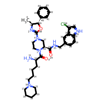 C[C@@H]1N=C(N2CCN(C(=O)[C@H](N)CCCCN3CCCCC3)[C@H](C(=O)NCc3ccc4[nH]cc(Cl)c4c3)C2)O[C@H]1c1ccccc1